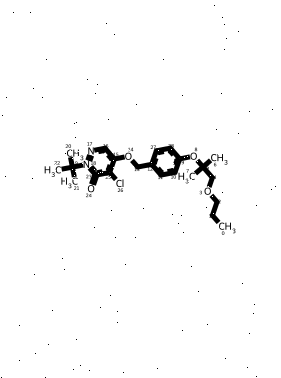 CCCOCC(C)(C)Oc1ccc(COc2cnn(C(C)(C)C)c(=O)c2Cl)cc1